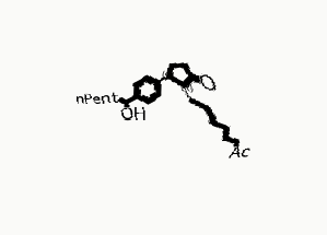 CCCCCC(O)c1ccc([C@H]2CCC(=O)[C@@H]2CCCCCCC(C)=O)cc1